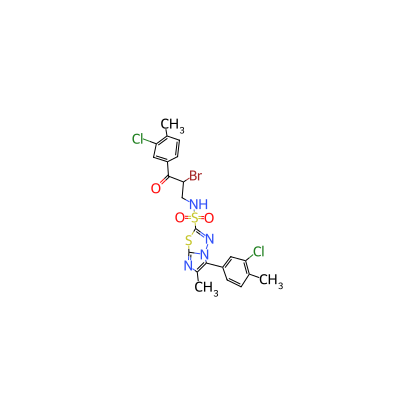 Cc1ccc(C(=O)C(Br)CNS(=O)(=O)c2nn3c(-c4ccc(C)c(Cl)c4)c(C)nc3s2)cc1Cl